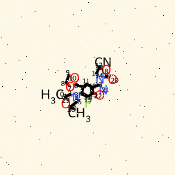 C[C@@H]1CN(c2c(C3OCCO3)cc3c(N4C[C@H](C#N)OC4=O)noc3c2F)C[C@@H](C)O1